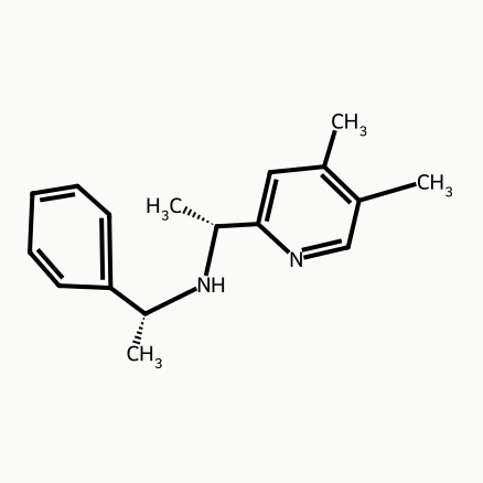 Cc1cnc([C@@H](C)N[C@H](C)c2ccccc2)cc1C